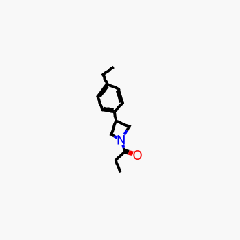 CCC(=O)N1CC(c2ccc(CC)cc2)C1